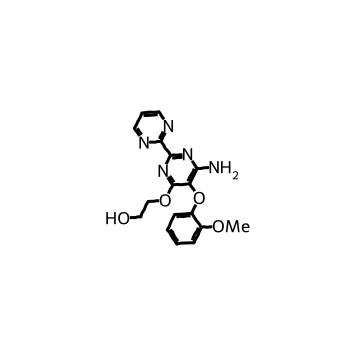 COc1ccccc1Oc1c(N)nc(-c2ncccn2)nc1OCCO